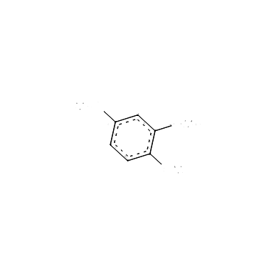 [CH2]Oc1ccc(OC)cc1OC